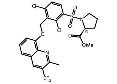 COC(=O)[C@@H]1CCCN1S(=O)(=O)c1ccc(Cl)c(COc2cccc3cc(C(F)(F)F)c(C)nc23)c1Cl